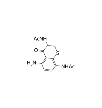 CC(=O)Nc1ccc(N)c2c1SCC(NC(C)=O)C2=O